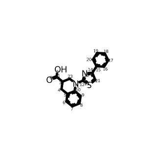 O=C(O)C1Cc2ccccc2N(c2nc(-c3ccccc3)cs2)C1